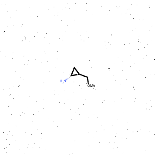 COCC1C[C@H]1N